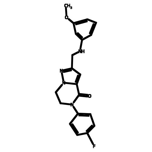 COc1cccc(NCc2cc3n(n2)CCN(c2ccc(F)cc2)C3=O)c1